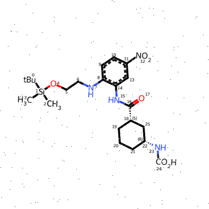 CC(C)(C)[Si](C)(C)OCCNc1ccc([N+](=O)[O-])cc1NC(=O)[C@H]1CCC[C@@H](NC(=O)O)C1